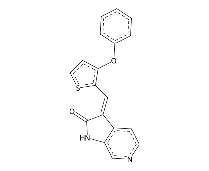 O=C1Nc2cnccc2C1=Cc1sccc1Oc1ccccc1